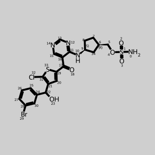 NS(=O)(=O)OC[C@@H]1CC[C@H](Nc2ncncc2C(=O)c2cc(C(O)c3cccc(Br)c3)c(Cl)s2)C1